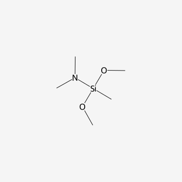 CO[Si](C)(OC)N(C)C